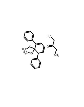 CCC(=O)CC.COC1(OC)C(c2ccccc2)=CC=CC1c1ccccc1